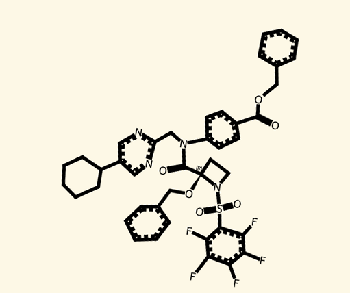 O=C(OCc1ccccc1)c1ccc(N(Cc2ncc(C3CCCCC3)cn2)C(=O)[C@]2(OCc3ccccc3)CCN2S(=O)(=O)c2c(F)c(F)c(F)c(F)c2F)cc1